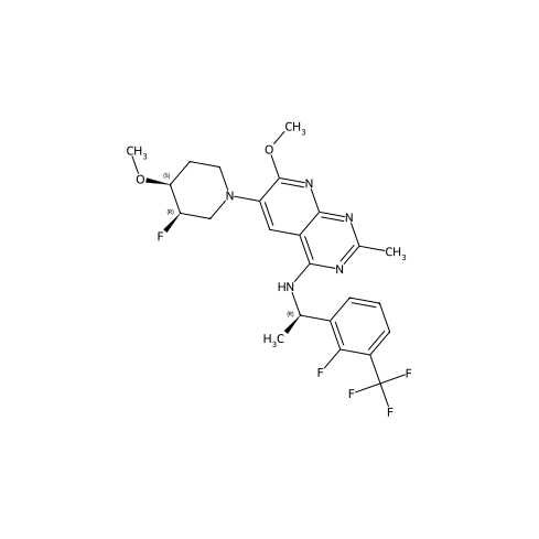 COc1nc2nc(C)nc(N[C@H](C)c3cccc(C(F)(F)F)c3F)c2cc1N1CC[C@H](OC)[C@H](F)C1